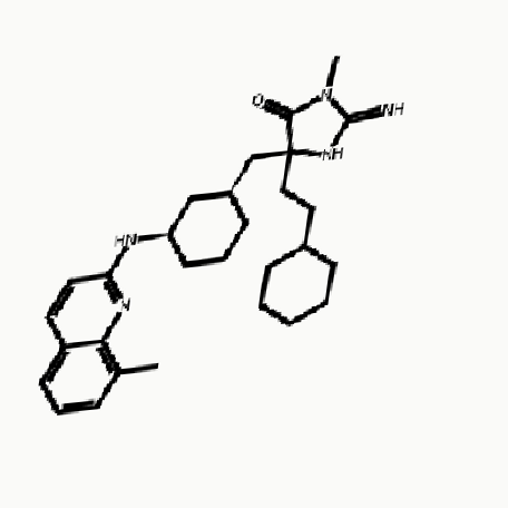 Cc1cccc2ccc(N[C@@H]3CCC[C@H](C[C@]4(CCC5CCCCC5)NC(=N)N(C)C4=O)C3)nc12